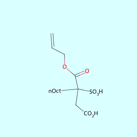 C=CCOC(=O)C(CCCCCCCC)(CC(=O)O)S(=O)(=O)O